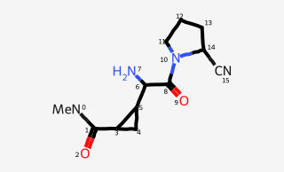 CNC(=O)C1CC1C(N)C(=O)N1CCCC1C#N